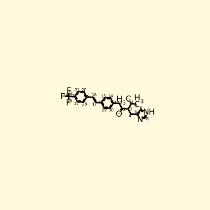 CC(C)C(Cc1c[nH]cn1)C(=O)Cc1ccc(/C=C/c2ccc(C(F)(F)F)cc2)cc1